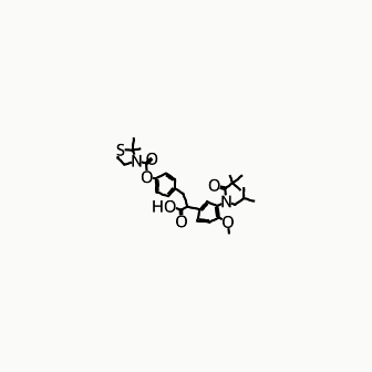 COc1ccc(C(Cc2ccc(OC(=O)N3CCSC3(C)C)cc2)C(=O)O)cc1N(CC(C)C)C(=O)C(C)(C)C